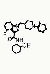 O=C(N[C@H]1CCCC[C@@H]1O)c1cn(CC2CCN(c3ccccn3)CC2)c2cccc(F)c12